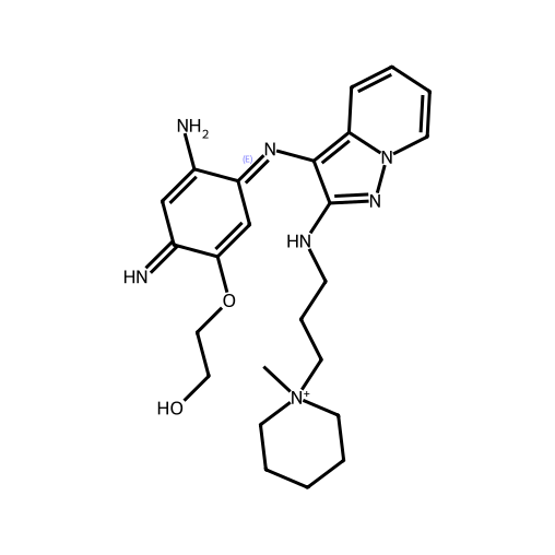 C[N+]1(CCCNc2nn3ccccc3c2/N=C2\C=C(OCCO)C(=N)C=C2N)CCCCC1